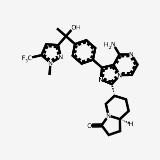 Cn1nc(C(C)(O)c2ccc(-c3nc([C@@H]4CC[C@H]5CCC(=O)N5C4)n4ccnc(N)c34)cc2)cc1C(F)(F)F